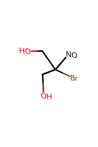 O=NC(Br)(CO)CO